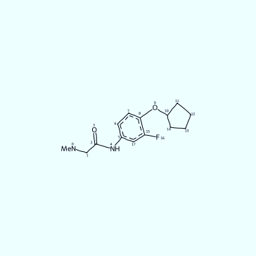 CNCC(=O)Nc1ccc(OC2CCCC2)c(F)c1